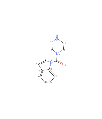 O=C(N1CCNCC1)n1ccc2ccccc21